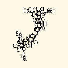 CCOCCOc1c(Cl)c(Cl)c(OCCOCC)c2c1C(=O)C(c1nc3ccc(Cc4ccc5nc(C6C(=O)c7c(OCCOCC)c(Cl)c(Cl)c(OCCOCC)c7C6=O)[nH]c(=O)c5c4)cc3c(=O)[nH]1)C2=O